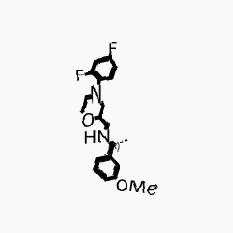 COc1cccc([C@@H](C)NCC2CN(c3ccc(F)cc3F)CCO2)c1